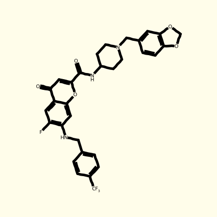 O=C(NC1CCN(Cc2ccc3c(c2)OCO3)CC1)c1cc(=O)c2cc(F)c(NCc3ccc(C(F)(F)F)cc3)cc2o1